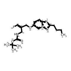 CCCCc1nc2ccc(OC/C(=C/F)CNC(=O)OC(C)(C)C)cn2n1